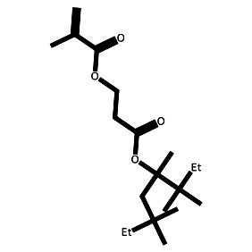 C=C(C)C(=O)OCCC(=O)OC(C)(CC(C)(C)CC)C(C)(C)CC